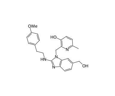 COc1ccc(CCNc2nc3ccc(CO)cc3n2Cc2nc(C)ccc2O)cc1